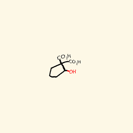 O=C(O)C1(C(=O)O)CCCC1O